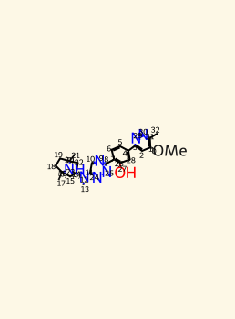 COc1cc(-c2ccc(-c3ncc(N(C)[C@H]4C[C@]5(C)CC[C@](C)(C4)N5)nn3)c(O)c2)nnc1C